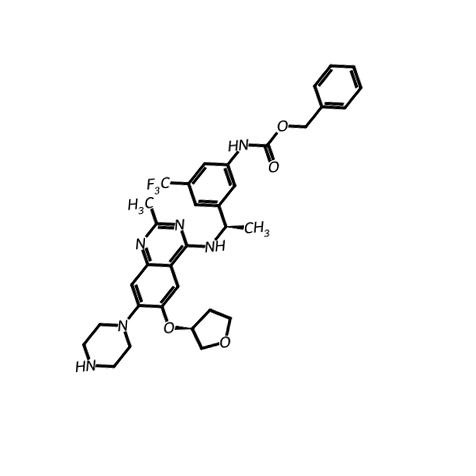 Cc1nc(N[C@H](C)c2cc(NC(=O)OCc3ccccc3)cc(C(F)(F)F)c2)c2cc(O[C@H]3CCOC3)c(N3CCNCC3)cc2n1